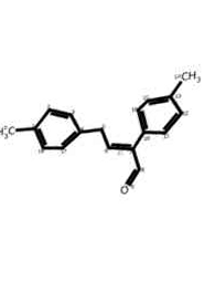 Cc1ccc(C/C=C(/C=O)c2ccc(C)cc2)cc1